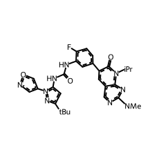 CNc1ncc2cc(-c3ccc(F)c(NC(=O)Nc4cc(C(C)(C)C)nn4-c4cnoc4)c3)c(=O)n(C(C)C)c2n1